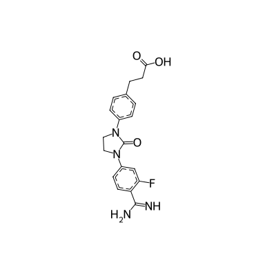 N=C(N)c1ccc(N2CCN(c3ccc(CCC(=O)O)cc3)C2=O)cc1F